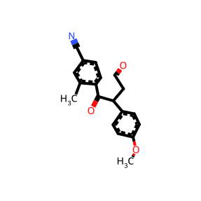 COc1ccc(C(CC=O)C(=O)c2ccc(C#N)cc2C)cc1